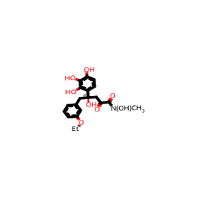 CCOc1cccc(C[C@@](O)(CC(=O)C(=O)N(C)O)c2ccc(O)c(O)c2O)c1